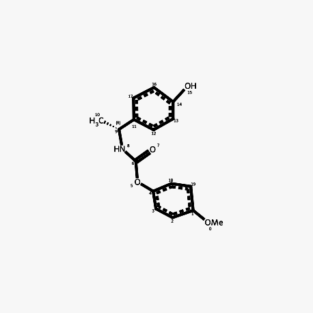 COc1ccc(OC(=O)N[C@H](C)c2ccc(O)cc2)cc1